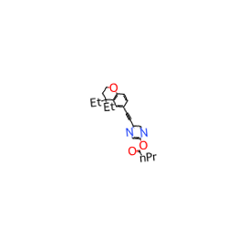 CCCC(=O)Oc1cnc(C#Cc2ccc3c(c2)C(CC)(CC)CCO3)cn1